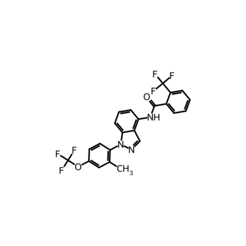 Cc1cc(OC(F)(F)F)ccc1-n1ncc2c(NC(=O)c3ccccc3C(F)(F)F)cccc21